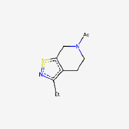 CCc1nsc2c1CCN(C(C)=O)C2